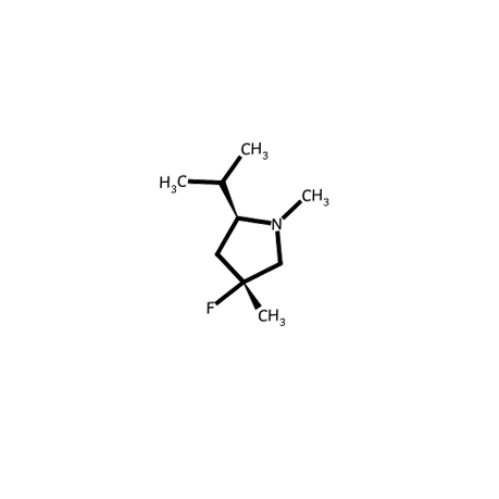 CC(C)[C@@H]1C[C@@](C)(F)CN1C